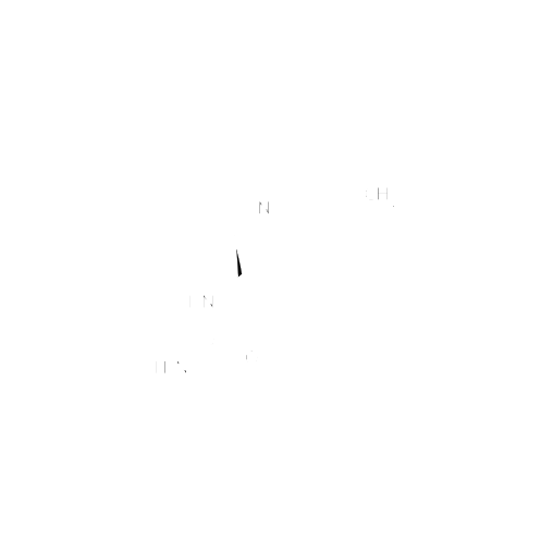 C=CCN1CCC[C@@H]1CNC(N)=O